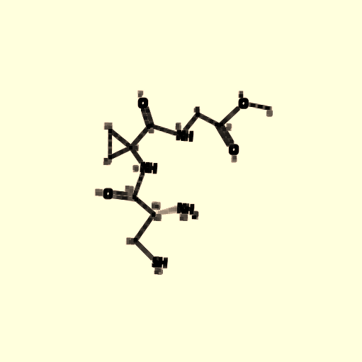 COC(=O)CNC(=O)C1(NC(=O)[C@H](N)CS)CC1